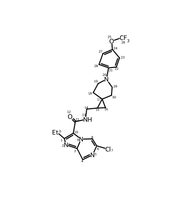 CCc1nc2cnc(Cl)cn2c1C(=O)NCC1CC12CCN(c1ccc(OC(F)(F)F)cc1)CC2